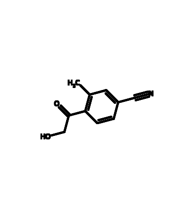 Cc1cc(C#N)ccc1C(=O)CO